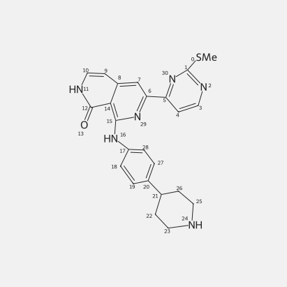 CSc1nccc(-c2cc3cc[nH]c(=O)c3c(Nc3ccc(C4CCNCC4)cc3)n2)n1